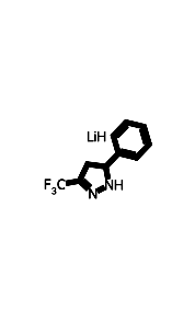 FC(F)(F)C1=NNC(c2ccccc2)C1.[LiH]